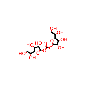 O=C(O[C@H]1O[C@H]([C@@H](O)CO)[C@H](O)[C@@H]1O)O[C@H]1O[C@H]([C@@H](O)CO)[C@H](O)[C@@H]1O